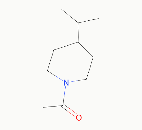 CC(=O)N1CCC(C(C)C)CC1